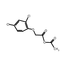 CC(=O)OC(=O)COc1ccc(Cl)cc1Cl